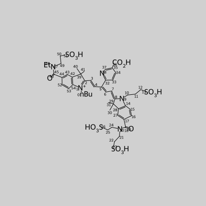 CCCC[N+]1=C(/C=C/C(=C/C=C2/N(CCCS(=O)(=O)O)c3ccc(C(=O)N(CCS(=O)(=O)O)CCS(=O)(=O)O)cc3C2(C)C)c2ccc(C(=O)O)cn2)C(C)(C)c2cc(C(=O)N(CC)CCS(=O)(=O)O)ccc21